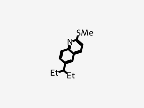 CCC(CC)c1ccc2nc(SC)ccc2c1